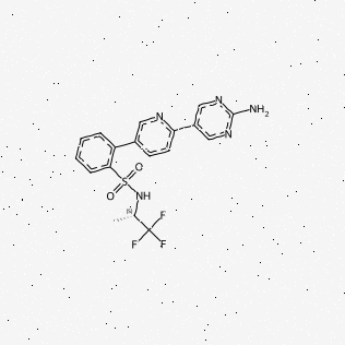 C[C@H](NS(=O)(=O)c1ccccc1-c1ccc(-c2cnc(N)nc2)nc1)C(F)(F)F